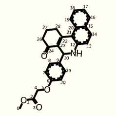 COC(=O)COc1ccc(C2Nc3ccc4ccccc4c3C3=C2C(=O)CCC3)cc1